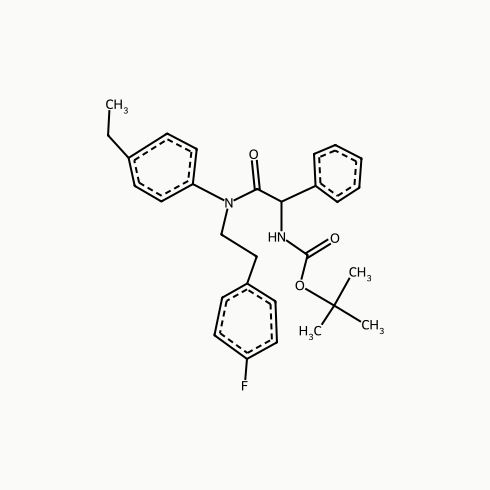 CCc1ccc(N(CCc2ccc(F)cc2)C(=O)C(NC(=O)OC(C)(C)C)c2ccccc2)cc1